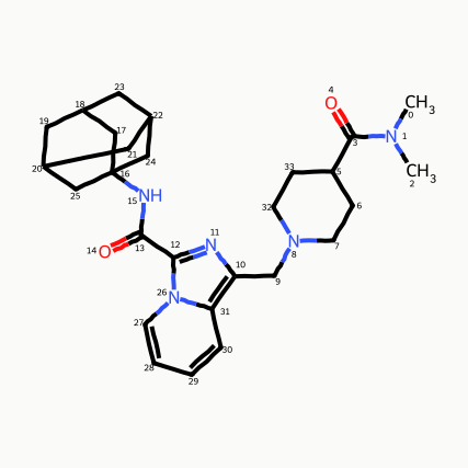 CN(C)C(=O)C1CCN(Cc2nc(C(=O)NC34CC5CC(CC(C5)C3)C4)n3ccccc23)CC1